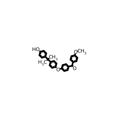 COc1ccc(C(=O)c2ccc(Oc3ccc(C(C)(C)c4ccc(O)cc4)cc3)cc2)cc1